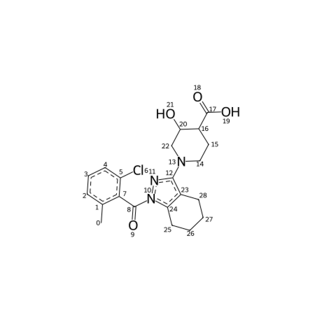 Cc1cccc(Cl)c1C(=O)n1nc(N2CCC(C(=O)O)C(O)C2)c2c1CCCC2